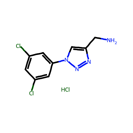 Cl.NCc1cn(-c2cc(Cl)cc(Cl)c2)nn1